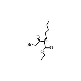 CCCC/C=C(\C(=O)CBr)C(=O)OCC